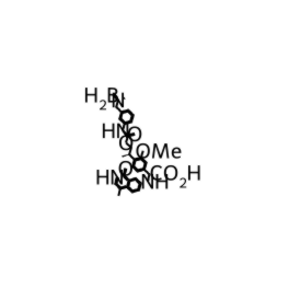 BN(C)Cc1cccc(NC(=O)OC[C@H](C)c2ccc(C(Nc3ccc4c(C)c[nH]c(=O)c4c3)C(=O)O)cc2OC)c1